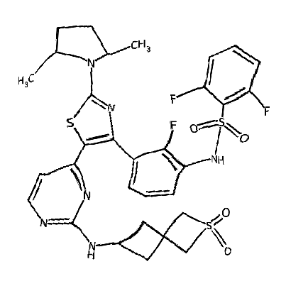 CC1CCC(C)N1c1nc(-c2cccc(NS(=O)(=O)c3c(F)cccc3F)c2F)c(-c2ccnc(NC3CC4(C3)CS(=O)(=O)C4)n2)s1